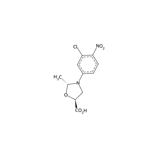 C[C@H]1O[C@H](C(=O)O)CN1c1ccc([N+](=O)[O-])c(Cl)c1